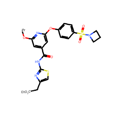 CCOC(=O)Cc1csc(NC(=O)c2cc(Oc3ccc(S(=O)(=O)N4CCC4)cc3)nc(OC(C)C)c2)n1